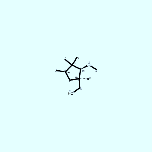 CO[C@@H]1C(C)(C)[C@H](C)C[C@]1(C)CO